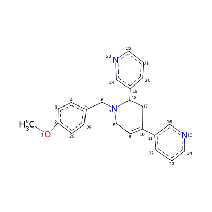 COc1ccc(CN2CC=C(c3cccnc3)CC2c2cccnc2)cc1